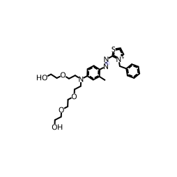 Cc1cc(N(CCOCCO)CCOCCOCCO)ccc1/N=N/c1scc[n+]1Cc1ccccc1